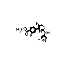 COC(=O)c1ccc(-c2nc(Nc3cn[nH]c3)ncc2F)cc1F